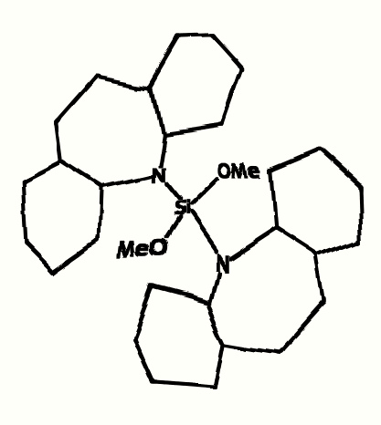 CO[Si](OC)(N1C2CCCCC2CCC2CCCCC21)N1C2CCCCC2CCC2CCCCC21